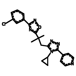 CC(C)(Cc1nnc(-c2ccncc2)n1C1CC1)c1nc(-c2cccc(Cl)c2)no1